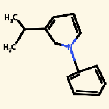 CC(C)C1=CC=CN(c2ccccc2)C1